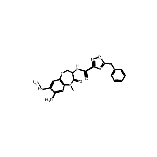 CN1C(=O)C(NC(=O)c2noc(Cc3ccccc3)n2)COc2cc(NN)c(N)cc21